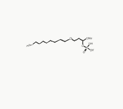 CCCCCCCCCCCCCCCCCCOCCC(OC)OP(=O)(O)O